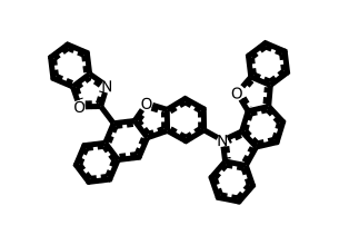 c1ccc2c(-c3nc4ccccc4o3)c3oc4ccc(-n5c6ccccc6c6ccc7c8ccccc8oc7c65)cc4c3cc2c1